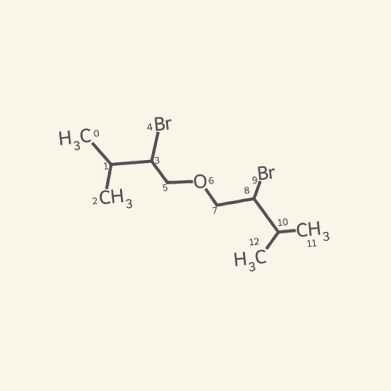 CC(C)C(Br)COCC(Br)C(C)C